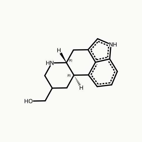 OCC1CN[C@@H]2Cc3c[nH]c4cccc(c34)[C@H]2C1